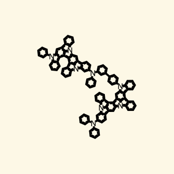 c1ccc(N(c2ccccc2)c2ccc3c4cc5c(c6cc7c(c8ccccc8n7-c7ccc(-c8cccc(N(c9ccccc9)c9ccc%10c%11cc%12c(c%13c%14ccccc%14n(c%10c9)c%11%13)c9c%10c%11ccccc%11n(-c%11ccccc%11)c%10cc%10c%11ccccc%11n%12c%109)c8)cc7)c7c8ccccc8n5c67)c5c6ccccc6n(c3c2)c45)cc1